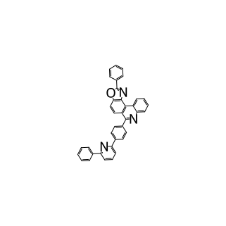 c1ccc(-c2cccc(-c3ccc(-c4nc5ccccc5c5c4ccc4oc(-c6ccccc6)nc45)cc3)n2)cc1